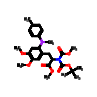 COC(=O)C(Cc1cc(OC)c(OC)cc1I(C)c1ccc(C)cc1)N(C(=O)OC)C(=O)OC(C)(C)C